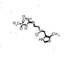 CNC(=NCC[S+]([O-])Cc1[nH]cnc1C)NS(C)(=O)=O